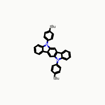 CC(C)(C)c1ccc(-n2c3ccccc3c3cc4c(cc32)c2ccccc2n4-c2ccc(C(C)(C)C)cc2)cc1